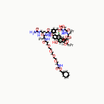 CCCC1O[C@@H]2C[C@H]3[C@@H]4C[C@H](F)C5=CC(=O)C=C[C@]5(C)[C@@]4(F)[C@@H](O)C[C@]3(C)[C@]2(C(=O)COC(=O)[C@H](CC(C)C)NC(=O)[C@H](CO)NC(=O)OCc2ccc(NC(=O)[C@H](CCCNC(N)=O)NC(=O)[C@@H](NC(=O)CCOCCOCCOCCOCCNC(=O)OCC3C4CCC#CCCC43)C(C)C)cc2)O1